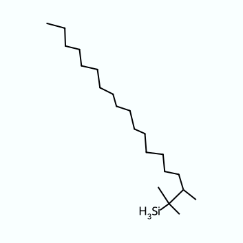 CCCCCCCCCCCCCCCCC(C)C(C)(C)[SiH3]